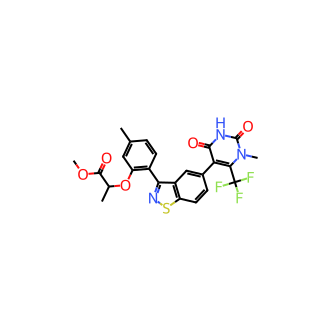 COC(=O)C(C)Oc1cc(C)ccc1-c1nsc2ccc(-c3c(C(F)(F)F)n(C)c(=O)[nH]c3=O)cc12